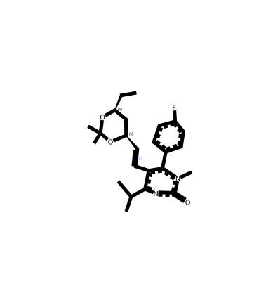 CC[C@H]1C[C@@H](/C=C/c2c(C(C)C)nc(=O)n(C)c2-c2ccc(F)cc2)OC(C)(C)O1